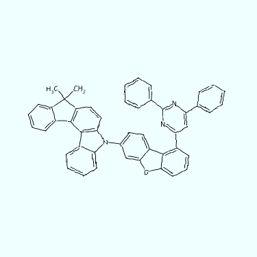 CC1(C)c2ccccc2-c2c1ccc1c2c2ccccc2n1-c1ccc2c(c1)oc1cccc(-c3cc(-c4ccccc4)nc(-c4ccccc4)n3)c12